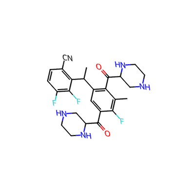 Cc1c(F)c(C(=O)C2CNCCN2)cc(C(C)c2c(C#N)ccc(F)c2F)c1C(=O)C1CNCCN1